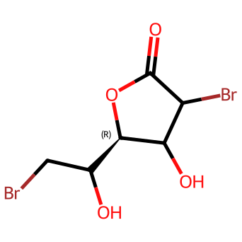 O=C1O[C@H](C(O)CBr)C(O)C1Br